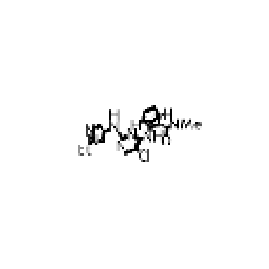 CCn1cc(Nc2ncc(Cl)c(N[C@@H]3[C@H](C(=O)NC)[C@H]4C=C[C@@H]3C4)n2)cn1